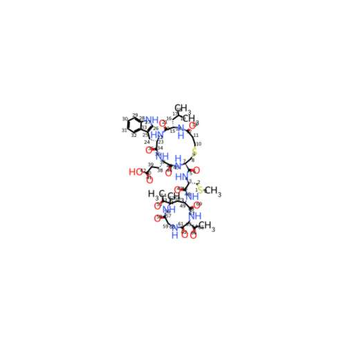 CSC[C@@H](NC(=O)[C@@H]1CSCCC(=O)N[C@@H](CC(C)C)C(=O)N[C@@H](Cc2c[nH]c3ccccc23)C(=O)N[C@@H](CCC(=O)O)C(=O)N1)C(=O)N[C@H]1C[C@@](C)(C(C)=O)NC(=O)CNC(=O)[C@H](C(C)=O)NC1=O